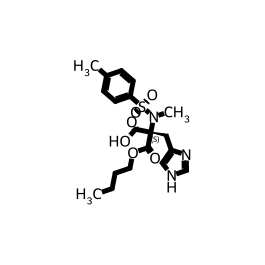 CCCCOC(=O)[C@](Cc1c[nH]cn1)(C(=O)O)N(C)S(=O)(=O)c1ccc(C)cc1